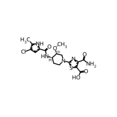 CO[C@H]1CN(c2nc(C(N)=O)c(C(=O)O)s2)CC[C@H]1NC(=O)c1cc(Cl)c(C)[nH]1